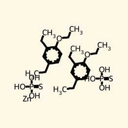 CCOc1ccc(CC)cc1CC.CCOc1ccc(CC)cc1CC.OP(O)(O)=S.OP(O)(O)=S.[Zn]